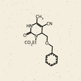 CCOC(=O)N1C(=O)NC(C)=C(C#N)C1COCc1ccccc1